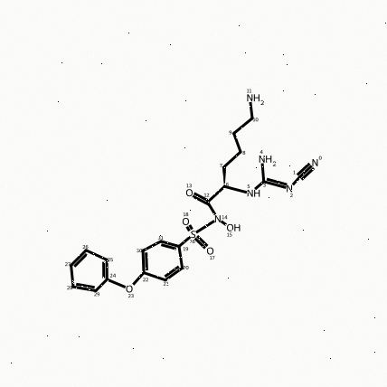 N#C/N=C(\N)N[C@H](CCCCN)C(=O)N(O)S(=O)(=O)c1ccc(Oc2ccccc2)cc1